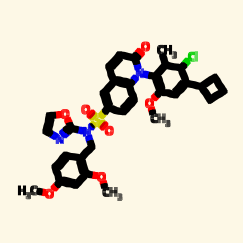 COC1=C(n2c(=O)ccc3cc(S(=O)(=O)N(Cc4ccc(OC)cc4OC)c4ncco4)ccc32)C(C)C(Cl)C(C2CCC2)=C1